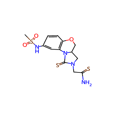 CS(=O)(=O)Nc1ccc2c(c1)N1C(=S)N(CC(N)=S)CC1CO2